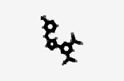 O=[N+]([O-])c1cc(-c2nnn(Cc3cccc(Br)c3)n2)cc([N+](=O)[O-])c1